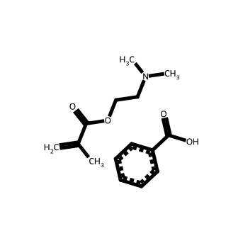 C=C(C)C(=O)OCCN(C)C.O=C(O)c1ccccc1